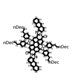 CCCCCCCCCCCCc1ccc(Oc2cc3c(=O)n4c5ccc6cc7ccccc7cc6c5nc4c4cc(Oc5ccc(CCCCCCCCCCCC)cc5)c5c6c(Oc7ccc(CCCCCCCCCCCC)cc7)cc7c(=O)n8c9ccc%10cc%11ccccc%11cc%10c9nc8c8cc(Oc9ccc(CCCCCCCCCCCC)cc9)c(c2c5c34)c6c78)cc1